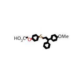 COc1ccc(C(=CCSc2ccc(OCC(=O)O)cc2)c2ccccc2)cc1